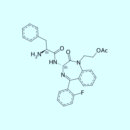 CC(=O)OCCN1C(=O)[C@@H](NC(=O)[C@@H](N)Cc2ccccc2)N=C(c2ccccc2F)c2ccccc21